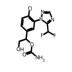 NC(=O)OC(CO)c1ccc(Cl)c(-n2ncnc2C(F)F)c1